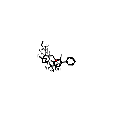 [2H]C([2H])([2H])C([2H])(O)C(=O)N1C2CC(F)(C2)[C@H](NS(=O)(=O)CC)[C@@H]1Cc1cccc(-c2ccccc2)c1F